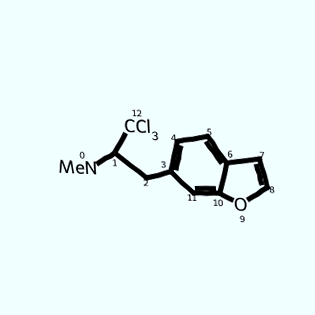 CNC(Cc1ccc2ccoc2c1)C(Cl)(Cl)Cl